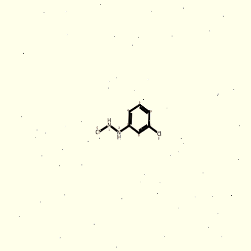 ClNNc1cccc(Cl)c1